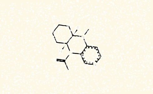 CC(=O)N1c2cnccc2N(C)[C@H]2CCCC[C@H]21